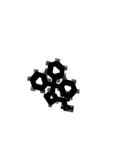 O=C(O)C1CCN1C(c1ccccc1)(c1ccccc1)c1ccccc1